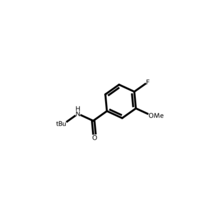 COc1cc(C(=O)NC(C)(C)C)ccc1F